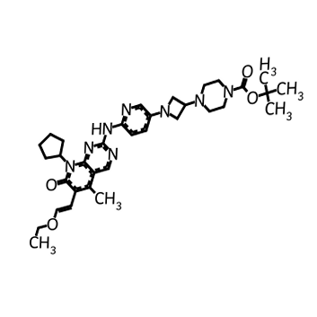 CCOC=Cc1c(C)c2cnc(Nc3ccc(N4CC(N5CCN(C(=O)OC(C)(C)C)CC5)C4)cn3)nc2n(C2CCCC2)c1=O